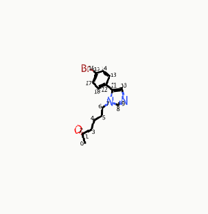 CC(=O)CCCCn1cncc1-c1ccc(Br)cc1